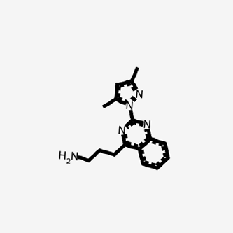 Cc1cc(C)n(-c2nc(CCCN)c3ccccc3n2)n1